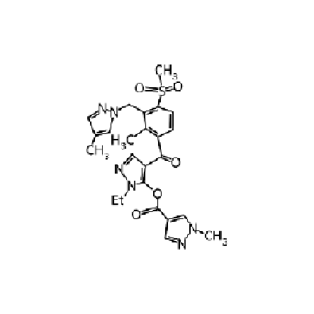 CCn1ncc(C(=O)c2ccc(S(C)(=O)=O)c(Cn3cc(C)cn3)c2C)c1OC(=O)c1cnn(C)c1